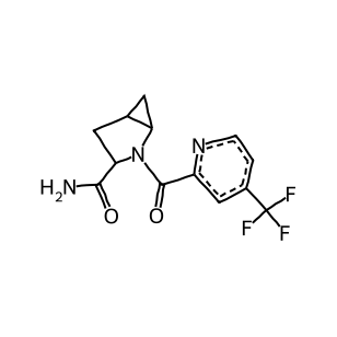 NC(=O)C1CC2CC2N1C(=O)c1cc(C(F)(F)F)ccn1